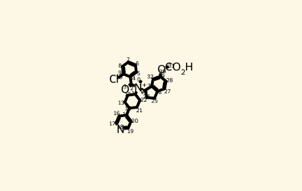 C[N+](C(=O)c1ccccc1Cl)(C1CCC(c2ccncc2)CC1)[C@@H]1CCc2ccc(OC(=O)O)cc21